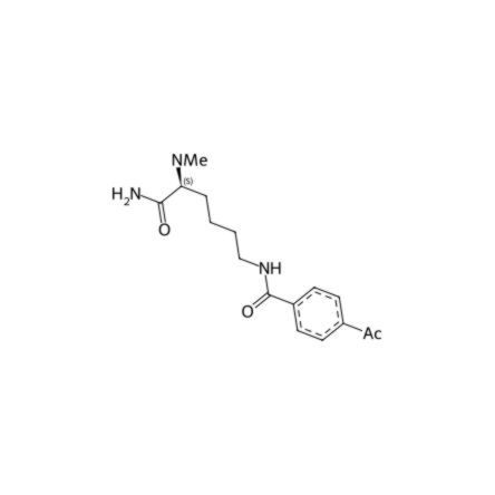 CN[C@@H](CCCCNC(=O)c1ccc(C(C)=O)cc1)C(N)=O